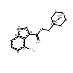 O=C(OCC12CCN(CC1)CC2)c1c[nH]c2cccc(Cl)c12